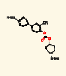 CCCCCCc1ccc(-c2ccc(OC(=O)O[C@H]3CC[C@H](CCCCCC)CC3)c(C#N)c2)cc1